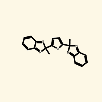 CC1(c2ccc(C3(C)N=c4ccccc4=N3)o2)N=c2ccccc2=N1